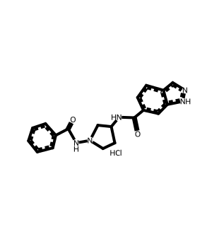 Cl.O=C(NC1CCN(NC(=O)c2ccccc2)C1)c1ccc2cn[nH]c2c1